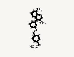 Cc1cnc2c(C(F)(F)F)cccc2c1-c1cccc(OCc2ccc(CC(=O)O)cc2)c1